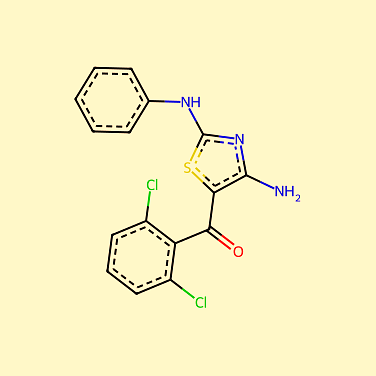 Nc1nc(Nc2ccccc2)sc1C(=O)c1c(Cl)cccc1Cl